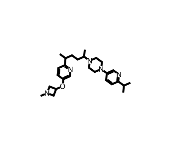 CC(C)c1ccc(N2CCN(C(C)CCC(C)c3ccc(OC4CN(C)C4)cn3)CC2)cn1